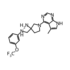 Cc1c[nH]c2ncnc(N3CCC(N)(CNc4cccc(OC(F)(F)F)c4)C3)c12